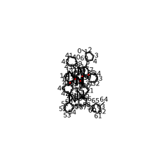 Cc1cccc(-c2ccc3c(c2)c2ccccc2n3-c2cccnc2-c2c(-c3nc(-c4ccccc4)nc(-c4ccccc4)n3)cccc2-n2c3ccccc3c3cc(-c4cccc(C)c4)ccc32)c1